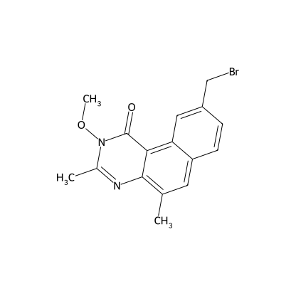 COn1c(C)nc2c(C)cc3ccc(CBr)cc3c2c1=O